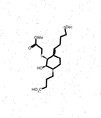 CCCCCCCCCCCCC/C=C1\CC[C@@H](CCCC(=O)O)[C@@H](O)[C@H]1SCC(=O)OC